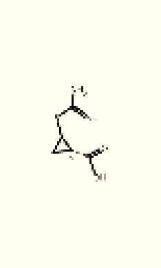 N=C(N)SC1C[C@H]1C(=O)O